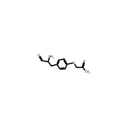 CC(=O)CSc1ccc(CC(N)C=O)cc1